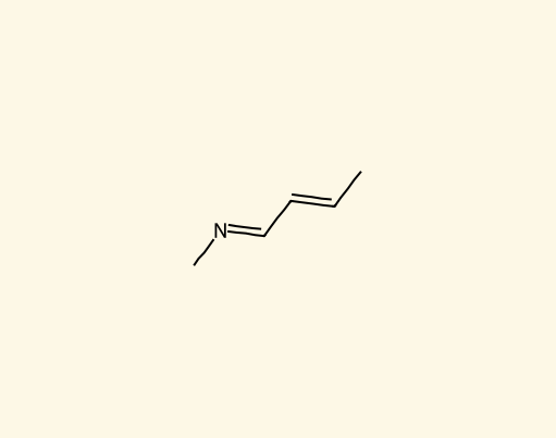 CC=CC=NC